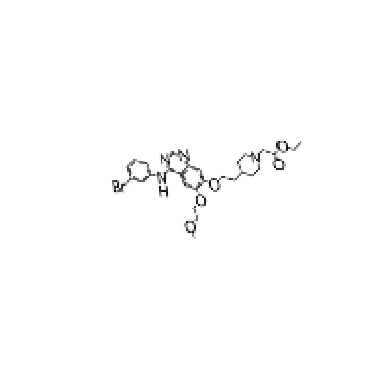 CCOC(=O)CN1CCC(CCOc2cc3ncnc(Nc4cccc(Br)c4)c3cc2OCCOC)CC1